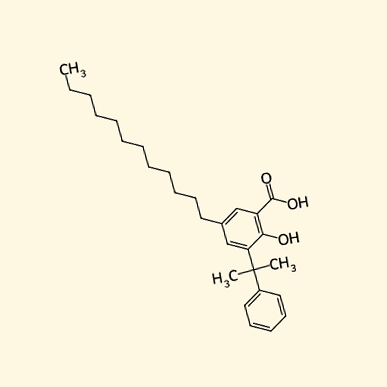 CCCCCCCCCCCCc1cc(C(=O)O)c(O)c(C(C)(C)c2ccccc2)c1